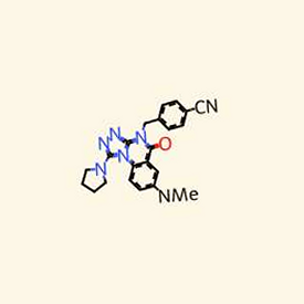 CNc1ccc2c(c1)c(=O)n(Cc1ccc(C#N)cc1)c1nnc(N3CCCC3)n21